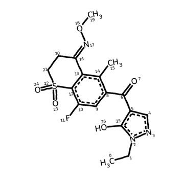 CCn1ncc(C(=O)c2cc(F)c3c(c2C)C(=NOC)CCS3(=O)=O)c1O